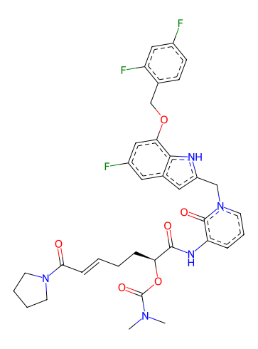 CN(C)C(=O)O[C@@H](CC/C=C/C(=O)N1CCCC1)C(=O)Nc1cccn(Cc2cc3cc(F)cc(OCc4ccc(F)cc4F)c3[nH]2)c1=O